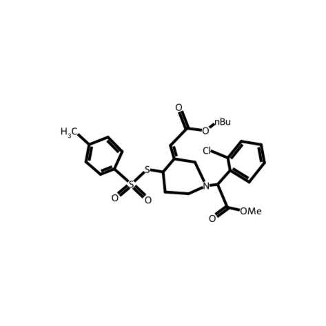 CCCCOC(=O)C=C1CN(C(C(=O)OC)c2ccccc2Cl)CCC1SS(=O)(=O)c1ccc(C)cc1